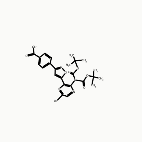 CC(C)(C)OC(=O)N(C(=O)OC(C)(C)C)c1ncc(Br)nc1-c1cc(-c2ccc(C(=O)O)cc2)no1